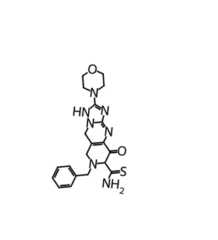 NC(=S)C1C(=O)C2=C(CN3NC(N4CCOCC4)=NC3=N2)CN1Cc1ccccc1